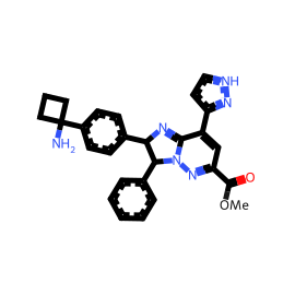 COC(=O)C1=NN2C(=NC(c3ccc(C4(N)CCC4)cc3)C2c2ccccc2)C(c2cc[nH]n2)=C1